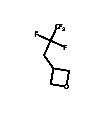 FC(F)(F)C(F)(F)CC1COC1